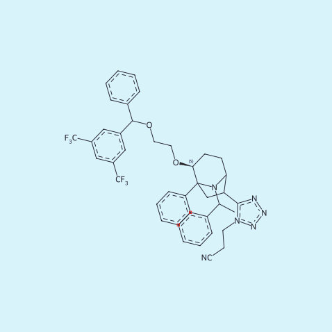 CC(c1ccccc1)N1C2CC[C@H](OCCOC(c3ccccc3)c3cc(C(F)(F)F)cc(C(F)(F)F)c3)C1(c1ccccc1)CC2c1nnnn1CCC#N